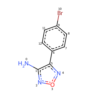 Nc1nonc1-c1ccc(Br)cc1